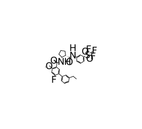 CCc1cccc(-c2cc(C(=O)N[C@@H]3CCC[C@@H]3C(=O)Nc3cccc(S(=O)(=O)C(F)(F)F)c3)c(OC)cc2F)c1